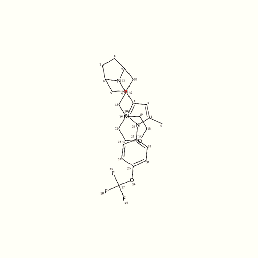 Cc1cc(N2CC3CCC(C2)N3CCN2CCOCC2)nn1-c1ccc(OC(F)(F)F)cc1